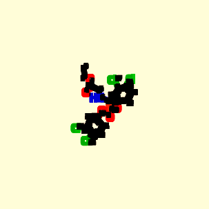 CCOC(=O)CNCP(=O)(Oc1ccc(Cl)c(Cl)c1)Oc1ccc(Cl)c(Cl)c1